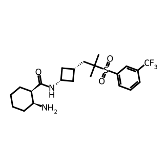 CC(C)(C[C@H]1C[C@@H](NC(=O)[C@@H]2CCCC[C@@H]2N)C1)S(=O)(=O)c1cccc(C(F)(F)F)c1